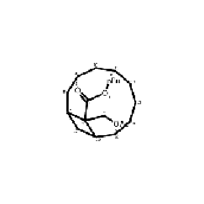 CCCCOC(=O)C1(COC(C)=O)C2CCCCCCCCC1C2